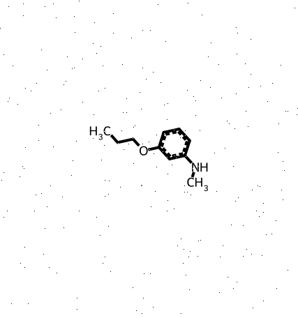 CCCOc1cccc(NC)c1